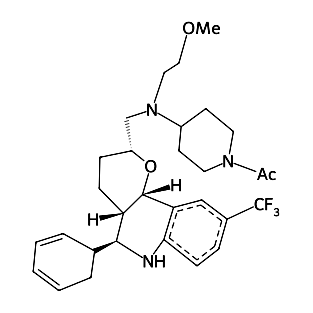 COCCN(C[C@H]1CC[C@@H]2[C@H](O1)c1cc(C(F)(F)F)ccc1N[C@H]2C1C=CC=CC1)C1CCN(C(C)=O)CC1